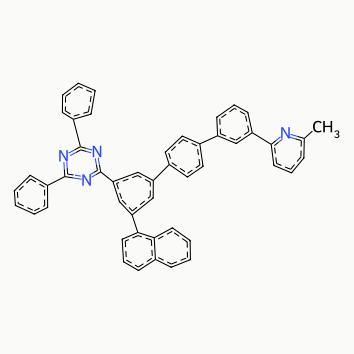 Cc1cccc(-c2cccc(-c3ccc(-c4cc(-c5nc(-c6ccccc6)nc(-c6ccccc6)n5)cc(-c5cccc6ccccc56)c4)cc3)c2)n1